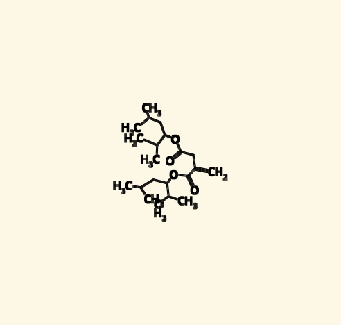 C=C(CC(=O)OC(CC(C)C)C(C)C)C(=O)OC(CC(C)C)C(C)C